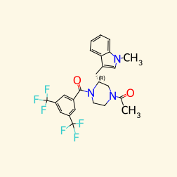 CC(=O)N1CCN(C(=O)c2cc(C(F)(F)F)cc(C(F)(F)F)c2)[C@H](Cc2cn(C)c3ccccc23)C1